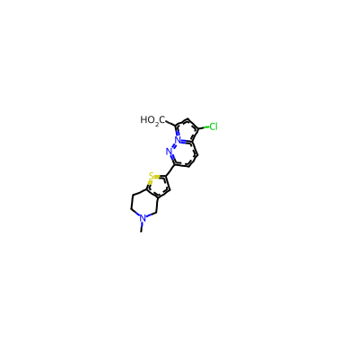 CN1CCc2sc(-c3ccc4c(Cl)cc(C(=O)O)n4n3)cc2C1